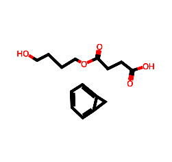 O=C(O)CCC(=O)OCCCCO.c1ccc2c(c1)C2